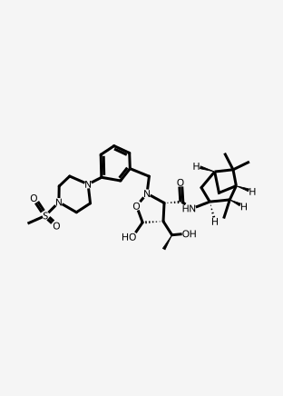 C[C@@H]1[C@@H](NC(=O)[C@@H]2[C@H]([C@H](C)O)C(O)ON2Cc2cccc(N3CCN(S(C)(=O)=O)CC3)c2)C[C@H]2C[C@@H]1C2(C)C